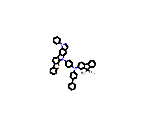 CC1(C)c2ccccc2-c2ccc(N(c3ccc(-c4ccccc4)cc3)c3ccc(-n4c5cc6ccn(-c7ccccc7)c6cc5c5ccc6c7ccccc7sc6c54)cc3)cc21